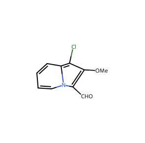 COc1c(Cl)c2ccccn2c1C=O